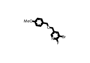 COc1ccc(COCc2cnc(F)c(Br)c2)cc1